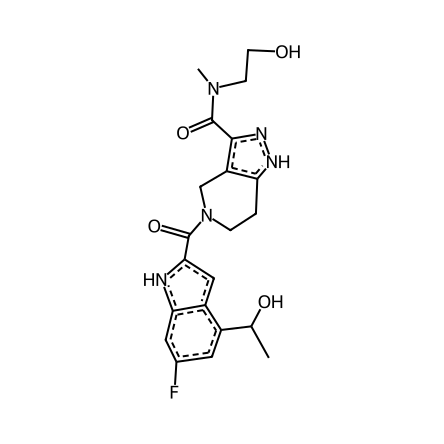 CC(O)c1cc(F)cc2[nH]c(C(=O)N3CCc4[nH]nc(C(=O)N(C)CCO)c4C3)cc12